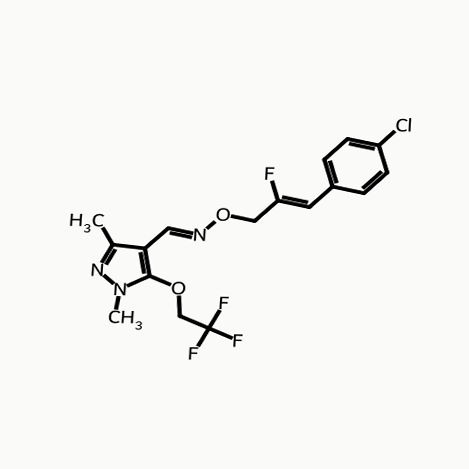 Cc1nn(C)c(OCC(F)(F)F)c1C=NOCC(F)=Cc1ccc(Cl)cc1